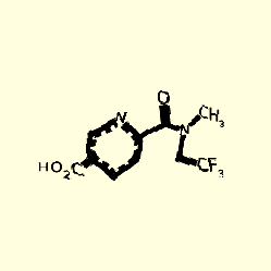 CN(CC(F)(F)F)C(=O)c1ccc(C(=O)O)cn1